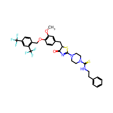 COc1cc(CC2SC(N3CCN(C(=S)NCCc4ccccc4)CC3)=NC2=O)ccc1OCc1ccc(C(F)(F)F)cc1C(F)(F)F